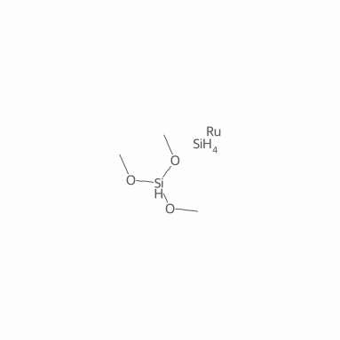 CO[SiH](OC)OC.[Ru].[SiH4]